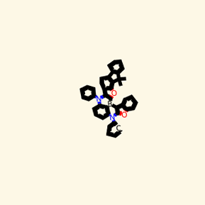 CC1(C)c2ccccc2-c2ccc3c4c(oc3c21)B1c2c(cccc2N4c2ccccc2)N(c2ccccc2)c2oc3ccccc3c21